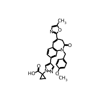 COc1ccc(CN2C(=O)CC(c3ncc(C)o3)=Cc3ccc(-c4cnn(C5(C(=O)O)CC5)c4)cc32)cc1